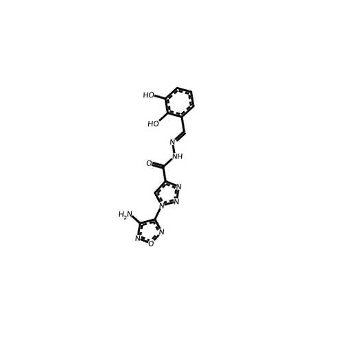 Nc1nonc1-n1cc(C(=O)NN=Cc2cccc(O)c2O)nn1